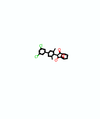 Cc1cc(-c2cc(Cl)cc(Cl)c2)cc(C)c1C1C(=O)c2c(c3ccc2o3)C1=O